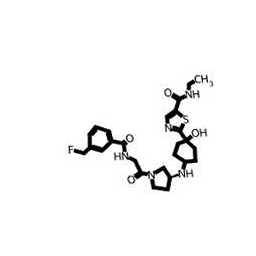 CCNC(=O)c1cnc(C2(O)CCC(N[C@H]3CCN(C(=O)CNC(=O)c4cccc(CF)c4)C3)CC2)s1